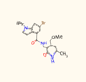 COCc1cc(C)[nH]c(=O)c1CNC(=O)c1cc(Br)cc2c1ccn2C(C)C